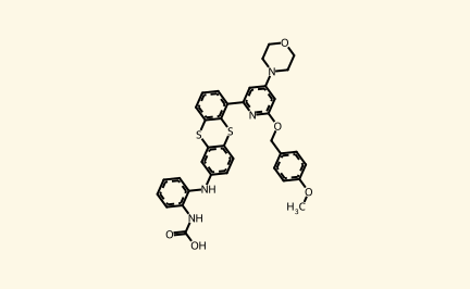 COc1ccc(COc2cc(N3CCOCC3)cc(-c3cccc4c3Sc3ccc(Nc5ccccc5NC(=O)O)cc3S4)n2)cc1